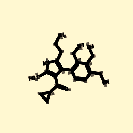 NCCc1[nH]c(C(=O)O)c(C(=O)C2CC2)c1-c1ccc(CO)c(CO)c1CO